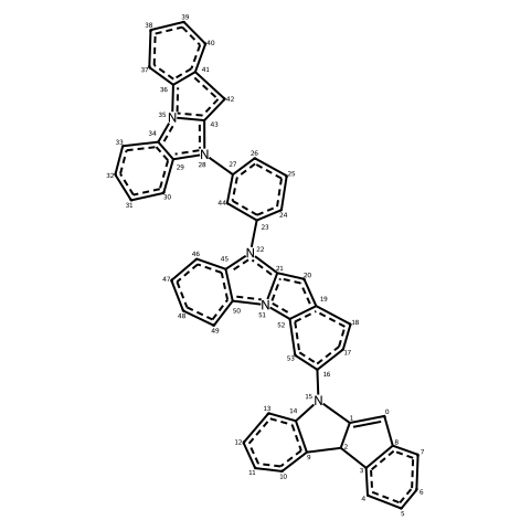 C1=C2C(c3ccccc31)c1ccccc1N2c1ccc2cc3n(-c4cccc(-n5c6ccccc6n6c7ccccc7cc56)c4)c4ccccc4n3c2c1